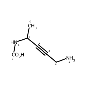 CC(C#CCN)NC(=O)O